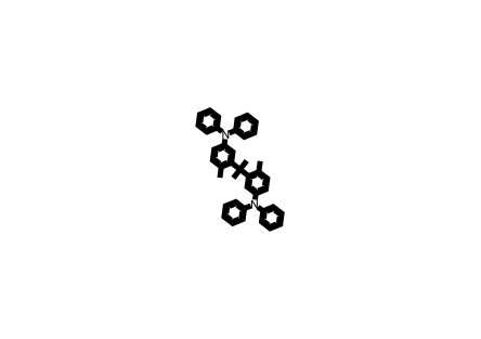 Cc1ccc(N(c2ccccc2)c2ccccc2)cc1C(C)(C)c1cc(N(c2ccccc2)c2ccccc2)ccc1C